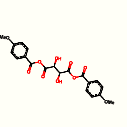 COc1ccc(C(=O)OC(=O)[C@@H](O)[C@H](O)C(=O)OC(=O)c2ccc(OC)cc2)cc1